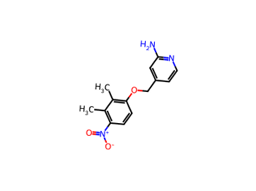 Cc1c(OCc2ccnc(N)c2)ccc([N+](=O)[O-])c1C